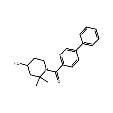 CC1(C)CC(O)CCN1C(=O)c1ccc(-c2ccccc2)cn1